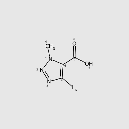 Cn1nnc(I)c1C(=O)O